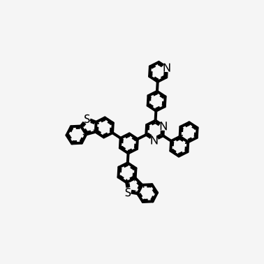 c1cncc(-c2ccc(-c3cc(-c4cc(-c5ccc6sc7ccccc7c6c5)cc(-c5ccc6sc7ccccc7c6c5)c4)nc(-c4cccc5ccccc45)n3)cc2)c1